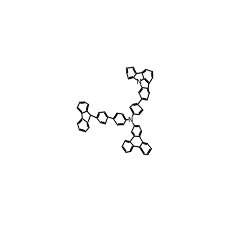 c1ccc2c(c1)-c1ccccc1C2c1ccc(-c2ccc(N(c3ccc(-c4ccc5c6cccc7c8ccccc8n(c5c4)c76)cc3)c3ccc4c5ccccc5c5ccccc5c4c3)cc2)cc1